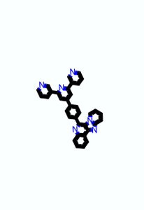 c1cncc(-c2cc(-c3ccc(-c4nc5ccccc5c5nc6ccccn6c45)cc3)cc(-c3cccnc3)n2)c1